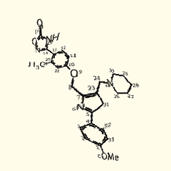 COc1ccc(C2=NC(COc3ccc(-c4noc(=O)[nH]4)c(C)c3)=C(CN3CCCCC3)C2)cc1